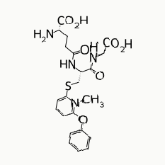 C[n+]1c(Oc2ccccc2)cccc1SC[C@H](NC(=O)CC[C@H](N)C(=O)O)C(=O)NCC(=O)O